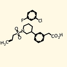 C=CCS(=O)(=O)N1CCCC(c2cccc(CC(=O)O)c2)C1.Fc1cccc(Cl)c1